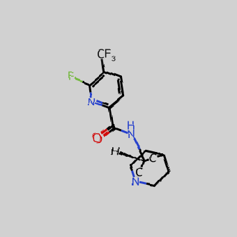 O=C(N[C@@H]1CC2CCN(CC2)C1)c1ccc(C(F)(F)F)c(F)n1